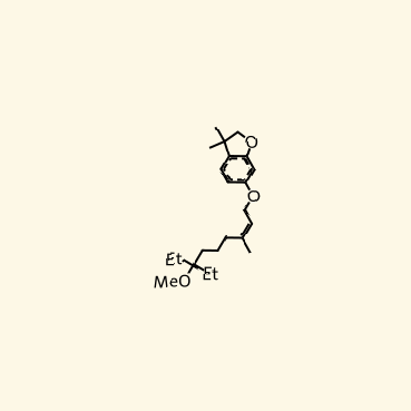 CCC(CC)(CCCC(C)=CCOc1ccc2c(c1)OCC2(C)C)OC